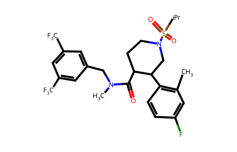 Cc1cc(F)ccc1C1CN(S(=O)(=O)C(C)C)CCC1C(=O)N(C)Cc1cc(C(F)(F)F)cc(C(F)(F)F)c1